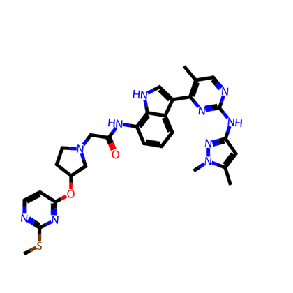 CSc1nccc(OC2CCN(CC(=O)Nc3cccc4c(-c5nc(Nc6cc(C)n(C)n6)ncc5C)c[nH]c34)C2)n1